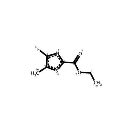 CCOC(=O)c1nc(F)c(C)s1